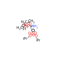 CCC(C)(C)OC(=O)OC(C)[C@H](C)OC(=O)[C@@H](N)Cc1ccc(OC(=O)OCCC(C)C)c(OC(=O)OCCC(C)C)c1